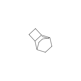 C1CC2CCC1=C1CCC12